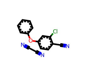 N#CC#N.N#Cc1ccc(Oc2ccccc2)cc1Cl